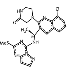 CSc1nc(N[C@@H](C)c2cc3cccc(Cl)c3nc2N2CCNC(=O)C2)n2nccc2n1